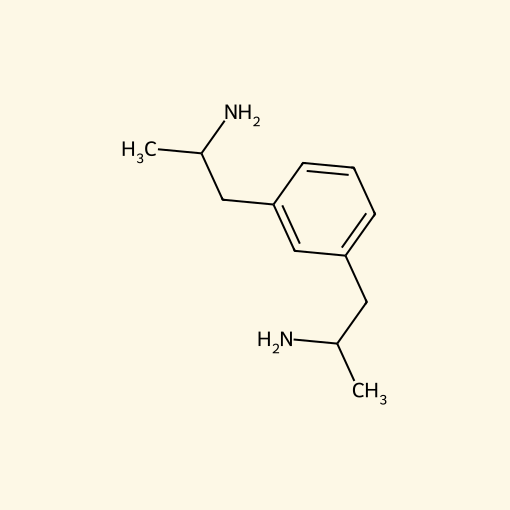 CC(N)Cc1cccc(CC(C)N)c1